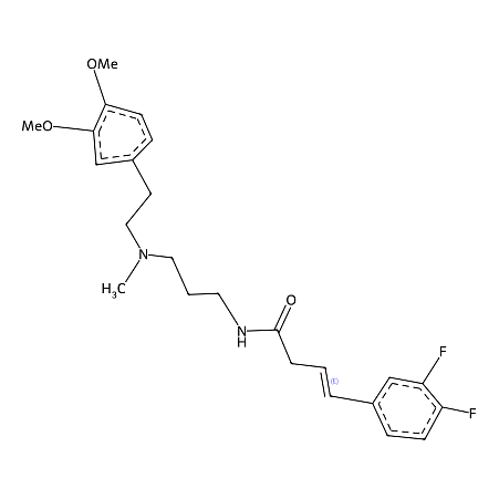 COc1ccc(CCN(C)CCCNC(=O)C/C=C/c2ccc(F)c(F)c2)cc1OC